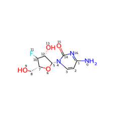 Nc1ccn([C@@H]2O[C@H](CO)C(F)[C@@H]2O)c(=O)n1